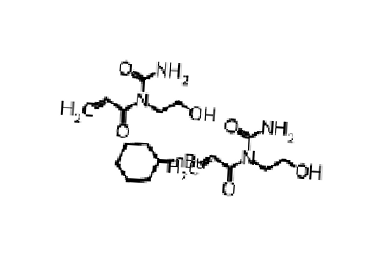 C=CC(=O)N(CCO)C(N)=O.C=CC(=O)N(CCO)C(N)=O.CCCCC1CCCCC1